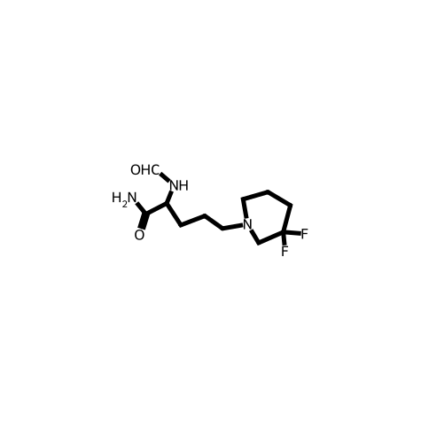 NC(=O)C(CCCN1CCCC(F)(F)C1)NC=O